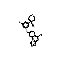 N#CC1(c2cc(F)cc(Sc3ccc4c(Cl)cc5nncn5c4c3)c2)CCOCC1